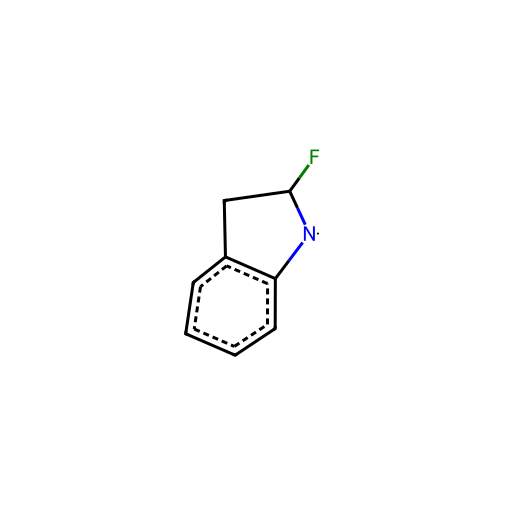 FC1Cc2ccccc2[N]1